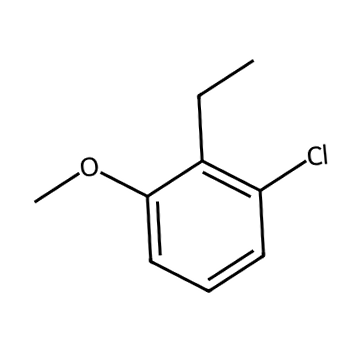 CCc1c(Cl)cccc1OC